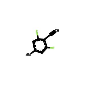 C#Cc1c(F)cc(CCCC)cc1F